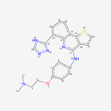 CN(C)CCOc1ccc(Nc2nc3c(-c4nnc[nH]4)cccc3c3sccc23)cc1